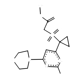 COC(=O)CS(=O)(=O)C1(c2cc(N3CCOCC3)nc(Cl)n2)CC1